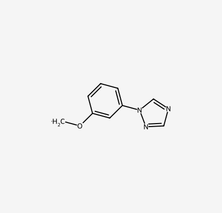 [CH2]Oc1cccc(-n2cncn2)c1